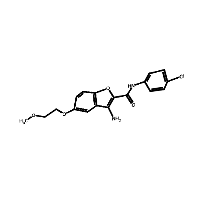 COCCOc1ccc2oc(C(=O)Nc3ccc(Cl)cc3)c(N)c2c1